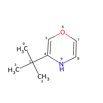 CC(C)(C)C1=COC=CN1